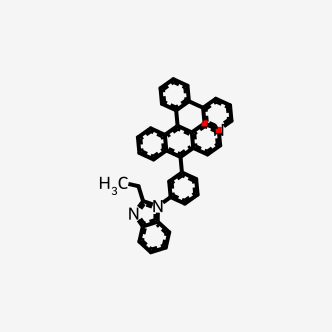 CCc1nc2ccccc2n1-c1cccc(-c2c3ccccc3c(-c3ccccc3-c3cccnc3)c3ccccc23)c1